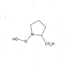 O=C(O)C1CCCN1OO